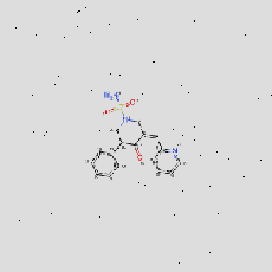 NS(=O)(=O)N1CC(=Cc2ccccn2)C(=O)C(c2ccccc2)C1